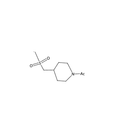 [CH2]S(=O)(=O)CC1CCN(C(C)=O)CC1